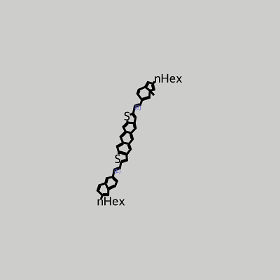 CCCCCCC1=CC2(C)C=C(/C=C/c3cc4cc5cc6cc7cc(/C=C/c8ccc9cc(CCCCCC)ccc9c8)sc7cc6cc5cc4s3)C=CC2=C1